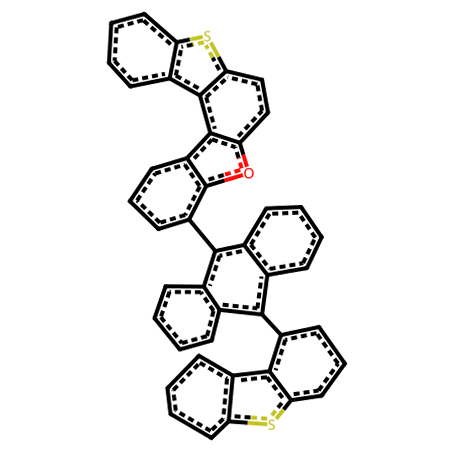 c1ccc2c(c1)sc1cccc(-c3c4ccccc4c(-c4cccc5c4oc4ccc6sc7ccccc7c6c45)c4ccccc34)c12